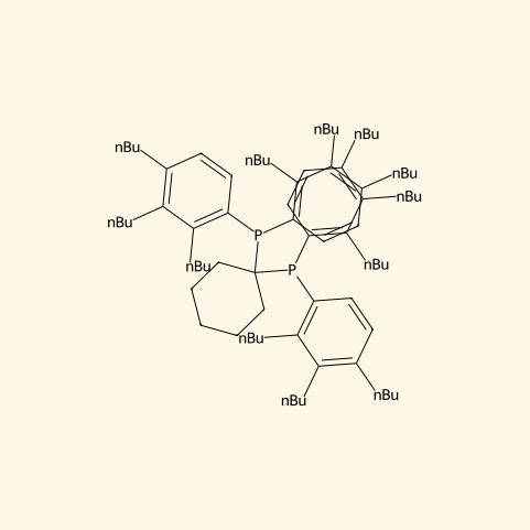 CCCCc1ccc(P(c2ccc(CCCC)c(CCCC)c2CCCC)C2(P(c3ccc(CCCC)c(CCCC)c3CCCC)c3ccc(CCCC)c(CCCC)c3CCCC)CCCCC2)c(CCCC)c1CCCC